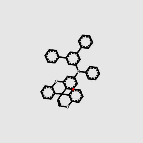 c1ccc(-c2cc(-c3ccccc3)cc(N(c3ccccc3)c3ccc4c(c3)Oc3ccccc3C43c4ccccc4Oc4ccccc43)c2)cc1